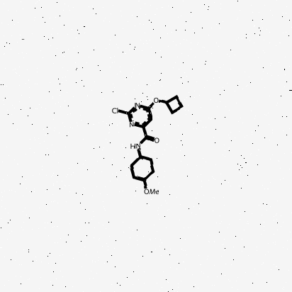 COC1CCC(NC(=O)c2cc(OC3CCC3)nc(Cl)n2)CC1